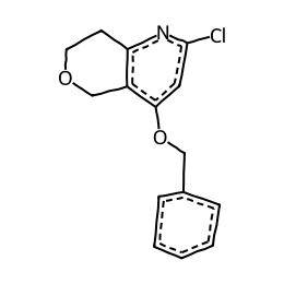 Clc1cc(OCc2ccccc2)c2c(n1)CCOC2